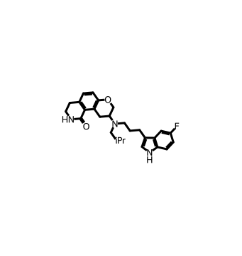 CC(C)CN(CCCc1c[nH]c2ccc(F)cc12)C1COc2ccc3c(c2C1)C(=O)NCC3